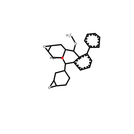 COC(c1cccc(-c2ccccc2)c1C(OC)C1CCC2OC2C1)C1CCC2OC2C1